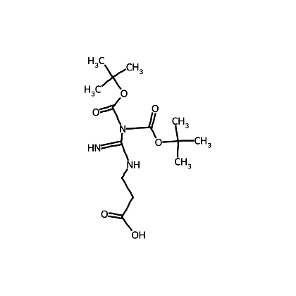 CC(C)(C)OC(=O)N(C(=N)NCCC(=O)O)C(=O)OC(C)(C)C